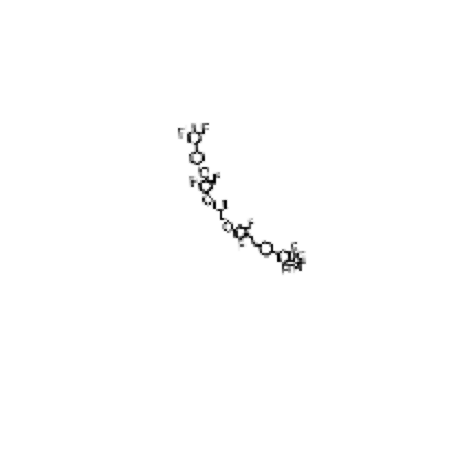 C=CC(CCOc1cc(F)c(CCC2CCC(c3cc(F)c(S(F)(F)(F)(F)F)c(F)c3)CC2)c(F)c1)CCOc1cc(F)c(OCC2CCC(c3cc(F)c(C)c(F)c3)CC2)c(F)c1